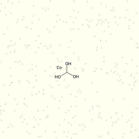 OC(O)O.[Co]